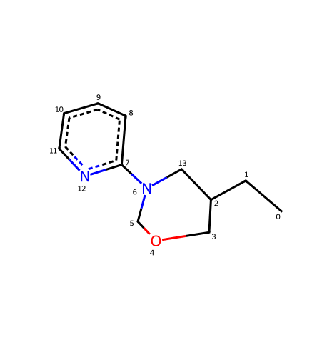 CCC1COCN(c2ccccn2)C1